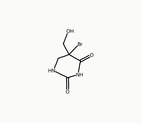 O=C1NCC(Br)(CO)C(=O)N1